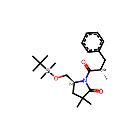 C[C@@H](Cc1ccccc1)C(=O)N1C(=O)C(C)(C)C[C@H]1CO[Si](C)(C)C(C)(C)C